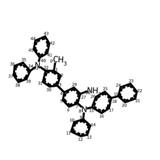 Cc1cc(-c2ccc(N(c3ccccc3)c3ccc(-c4ccccc4)cc3)c(N)c2)ccc1N(c1ccccc1)c1ccccc1